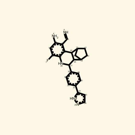 N=Cc1c(N)cc(F)c2c1C1C3CCC(C3)C1C(c1ccc(-c3ccn[nH]3)cc1)N2